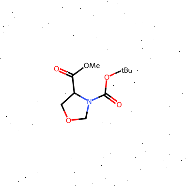 COC(=O)C1COCN1C(=O)OC(C)(C)C